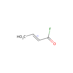 O=C(O)/C=C/C(=O)F